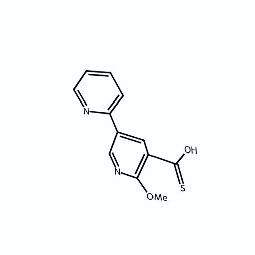 COc1ncc(-c2ccccn2)cc1C(O)=S